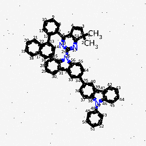 CC1(C)C=Cc2c(-c3ccccc3-c3cccc4ccccc34)nc(-n3c4ccccc4c4cc(-c5ccc6c(c5)c5ccccc5n6-c5ccccc5)ccc43)nc21